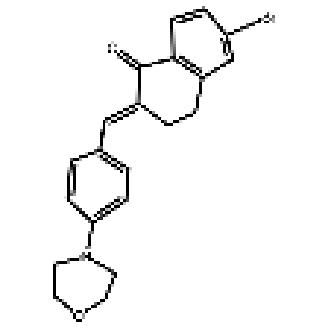 O=C1/C(=C/c2ccc(N3CCOCC3)cc2)CCc2cc(Br)ccc21